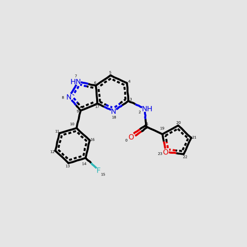 O=C(Nc1ccc2[nH]nc(-c3cccc(F)c3)c2n1)c1ccco1